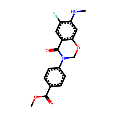 CNc1cc2c(cc1F)C(=O)N(c1ccc(C(=O)OC)cc1)CO2